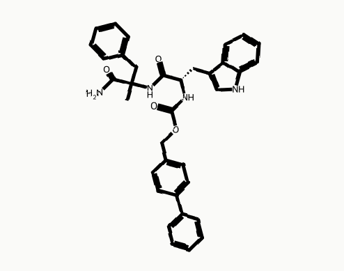 CC(Cc1ccccc1)(NC(=O)[C@H](Cc1c[nH]c2ccccc12)NC(=O)OCc1ccc(-c2ccccc2)cc1)C(N)=O